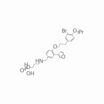 CC(C)Oc1ccc(CCCOc2ccc(CNCCCO[PH](=O)O)cc2-c2ccoc2)cc1Br